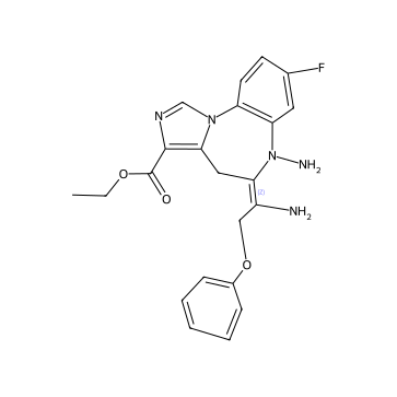 CCOC(=O)c1ncn2c1C/C(=C(/N)COc1ccccc1)N(N)c1cc(F)ccc1-2